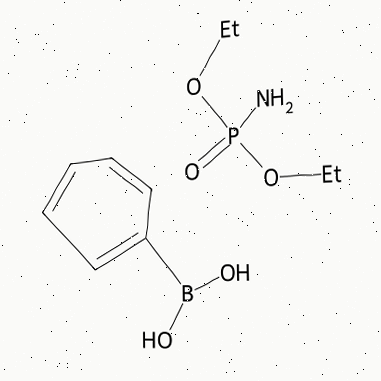 CCOP(N)(=O)OCC.OB(O)c1ccccc1